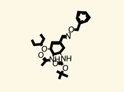 CCC(CC)O[C@@H]1C=C(/C=N/OCc2ccccc2)C[C@H](NC(=O)OC(C)(C)C)[C@H]1NC(C)=O